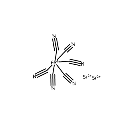 N#[C][Fe-4]([C]#N)([C]#N)([C]#N)([C]#N)[C]#N.[Sr+2].[Sr+2]